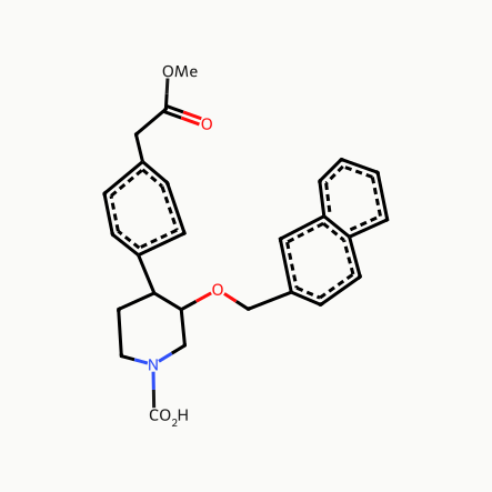 COC(=O)Cc1ccc(C2CCN(C(=O)O)CC2OCc2ccc3ccccc3c2)cc1